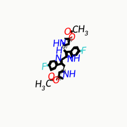 CC(=O)O[C@@H]1CN[C@H](Cc2c(-c3[nH]c4cc(F)ccc4c3C[C@H]3C[C@H](OC(C)=O)CN3)[nH]c3cc(F)ccc23)C1